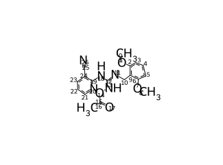 COc1cccc(OC)c1CN=C(NOC(C)=O)Nc1ncccc1C#N